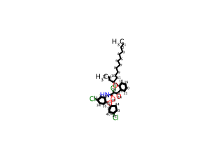 CCCCCCCCCCCCC(CCC)Oc1ccccc1C(=O)C(Cl)C(=O)Nc1cc(Cl)ccc1Oc1ccc(Cl)cc1